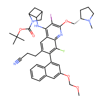 COCOc1cc(-c2c(CCC#N)cc3c(NC4C5CC4N(C(=O)OC(C)(C)C)C5)c(I)c(OC[C@@H]4CCCN4C)nc3c2F)c2ccccc2c1